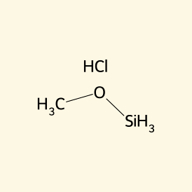 CO[SiH3].Cl